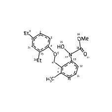 CCc1ccc(OCc2c(C)cccc2N(O)C(=O)OC)c(CC)c1